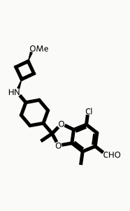 CO[C@H]1C[C@@H](NC2CCC(C3(C)Oc4c(Cl)cc(C=O)c(C)c4O3)CC2)C1